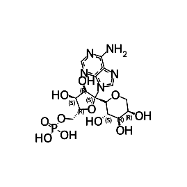 Nc1ncnc2c1ncn2[C@]1(C2OC[C@@H](O)[C@@H](O)[C@@H]2O)O[C@H](COP(=O)(O)O)[C@@H](O)[C@H]1O